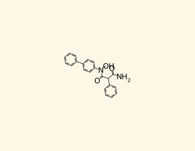 NC(=O)C(C(=O)N(O)c1ccc(-c2ccccc2)cc1)c1ccccc1